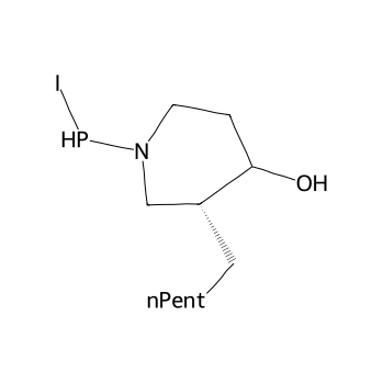 CCCCCC[C@@H]1CN(PI)CCC1O